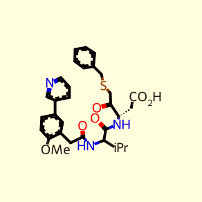 COc1ccc(-c2cccnc2)cc1CC(=O)NC(C(=O)N[C@@H](CC(=O)O)C(=O)CSCc1ccccc1)C(C)C